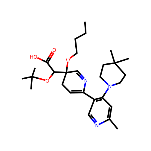 CCCCOC1(C(OC(C)(C)C)C(=O)O)C=NC(c2cnc(C)cc2N2CCC(C)(C)CC2)=CC1